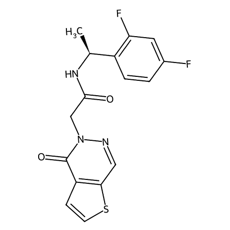 C[C@H](NC(=O)Cn1ncc2sccc2c1=O)c1ccc(F)cc1F